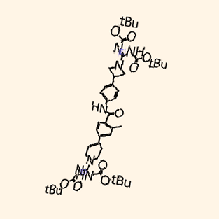 Cc1cc(C2=CCN(/C(=N/C(=O)OC(C)(C)C)NC(=O)OC(C)(C)C)CC2)ccc1C(=O)Nc1ccc(C2CN(/C(=N/C(=O)OC(C)(C)C)NC(=O)OC(C)(C)C)C2)cc1